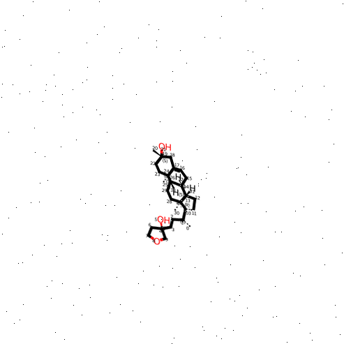 C[C@H](CC[C@@]1(O)CCOC1)[C@H]1CC[C@H]2[C@@H]3CC=C4C[C@@](C)(O)CC[C@]4(C)[C@H]3CC[C@]12C